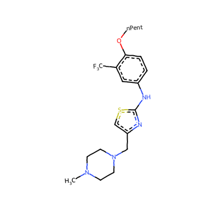 CCCCCOc1ccc(Nc2nc(CN3CCN(C)CC3)cs2)cc1C(F)(F)F